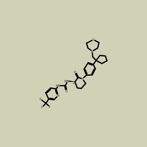 O=C(Nc1ccc(C(F)(F)F)cn1)N[C@@H]1CCCN(c2ccc(C3(CN4CCOCC4)CCCC3)cc2)C1=O